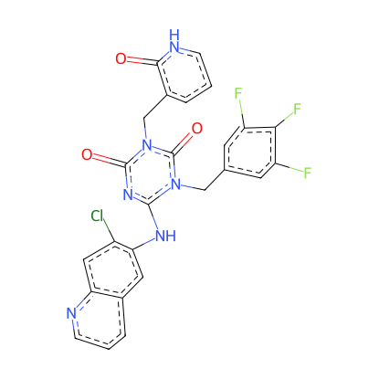 O=c1[nH]cccc1Cn1c(=O)nc(Nc2cc3cccnc3cc2Cl)n(Cc2cc(F)c(F)c(F)c2)c1=O